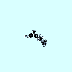 O=c1c(Cl)c(NCC2COCCS2(=O)=O)cnn1[C@H]1CC[C@H](N(c2ccc(OCF)cc2)C2CC2)CC1